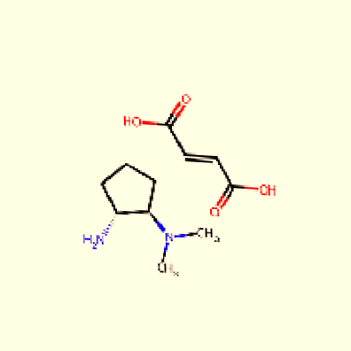 CN(C)[C@@H]1CCC[C@H]1N.O=C(O)C=CC(=O)O